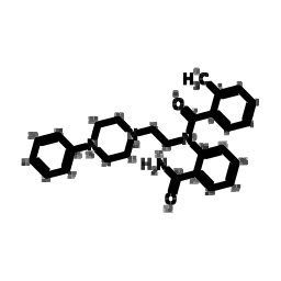 Cc1ccccc1C(=O)N(CCN1CCN(c2ccccc2)CC1)c1ccccc1C(N)=O